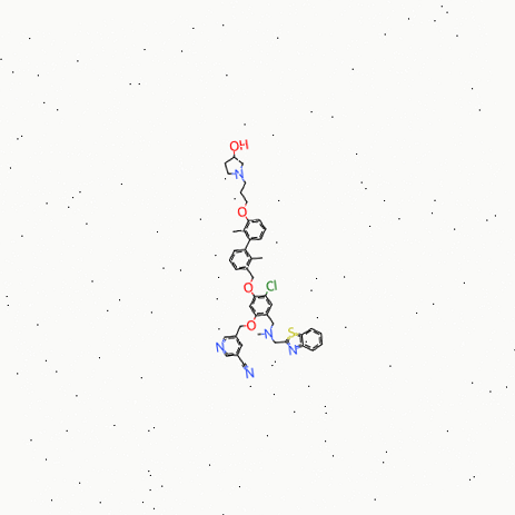 Cc1c(COc2cc(OCc3cncc(C#N)c3)c(CN(C)Cc3nc4ccccc4s3)cc2Cl)cccc1-c1cccc(OCCCN2CCC(O)C2)c1C